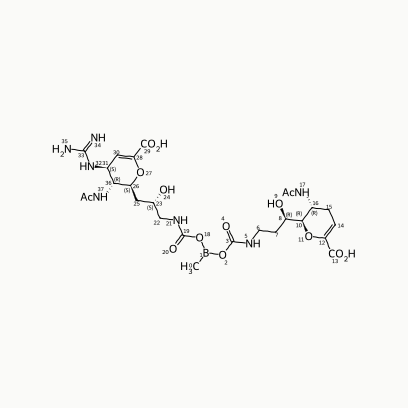 CB(OC(=O)NCC[C@@H](O)[C@@H]1OC(C(=O)O)=CC[C@H]1NC(C)=O)OC(=O)NC[C@@H](O)C[C@@H]1OC(C(=O)O)=C[C@H](NC(=N)N)[C@H]1NC(C)=O